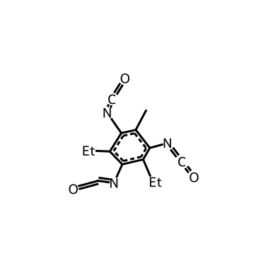 CCc1c(N=C=O)c(C)c(N=C=O)c(CC)c1N=C=O